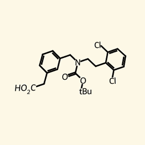 CC(C)(C)OC(=O)N(CCc1c(Cl)cccc1Cl)Cc1cccc(CC(=O)O)c1